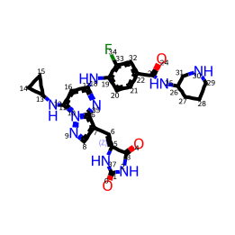 O=C1NC(=O)/C(=C/c2cnn3c(NC4CC4)cc(Nc4ccc(C(=O)NC5CCCNC5)cc4F)nc23)N1